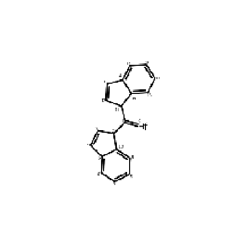 [Hf]=[C](C1C=Cc2ccccc21)C1C=Cc2ccccc21